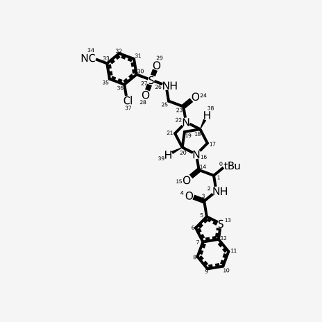 CC(C)(C)C(NC(=O)c1cc2ccccc2s1)C(=O)N1C[C@@H]2C[C@H]1CN2C(=O)CNS(=O)(=O)c1ccc(C#N)cc1Cl